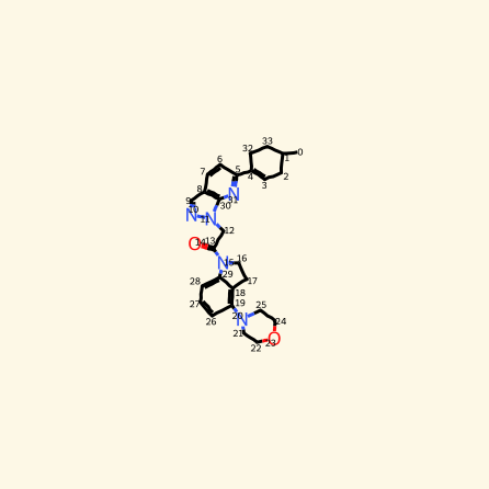 CC1CC=C(c2ccc3cnn(CC(=O)N4CCc5c(N6CCOCC6)cccc54)c3n2)CC1